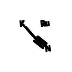 N#[C][K].[Ru]